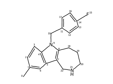 Cc1ccc2c(c1)c1c(n2Cc2ccc(F)cc2)CCCNC1